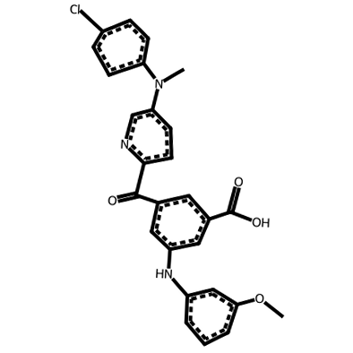 COc1cccc(Nc2cc(C(=O)O)cc(C(=O)c3ccc(N(C)c4ccc(Cl)cc4)cn3)c2)c1